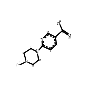 CC(C)N1CCN(c2ccc(C(=O)Cl)cn2)CC1